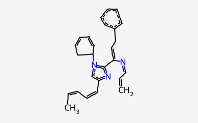 C=C/C=N\C(=C/Cc1ccccc1)c1nc(/C=C\C=C/C)cn1C1C=CC=CC1